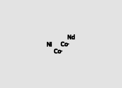 [Co].[Co].[Nd].[Ni]